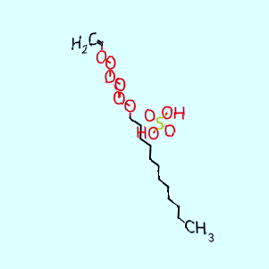 C=COOOOOOCCCCCCCCCCCC.O=S(=O)(O)O